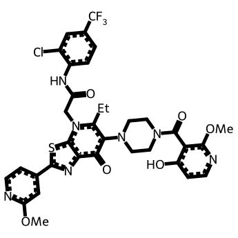 CCc1c(N2CCN(C(=O)c3c(O)ccnc3OC)CC2)c(=O)c2nc(-c3ccnc(OC)c3)sc2n1CC(=O)Nc1ccc(C(F)(F)F)cc1Cl